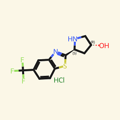 Cl.O[C@H]1CN[C@H](c2nc3cc(C(F)(F)F)ccc3s2)C1